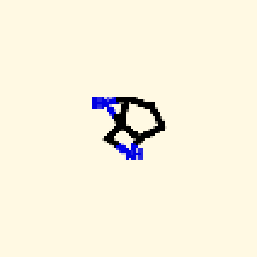 C1CC2NC23CNC13